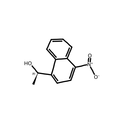 C[C@@H](O)c1ccc([N+](=O)[O-])c2ccccc12